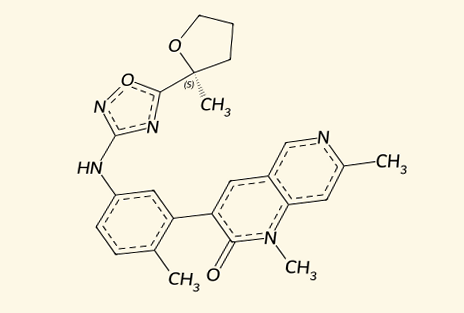 Cc1cc2c(cn1)cc(-c1cc(Nc3noc([C@]4(C)CCCO4)n3)ccc1C)c(=O)n2C